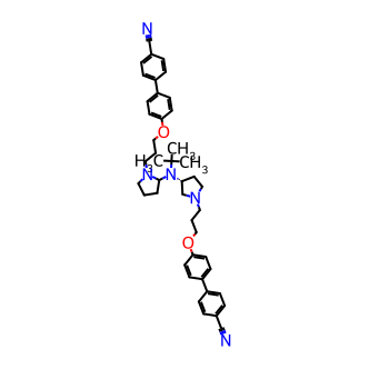 CC(C)(C)N(C1CCCN1CCCOc1ccc(-c2ccc(C#N)cc2)cc1)[C@@H]1CCN(CCCOc2ccc(-c3ccc(C#N)cc3)cc2)C1